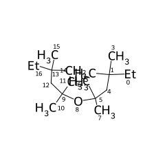 CCC(C)(C)CC(C)(C)OC(C)(C)CC(C)(C)CC